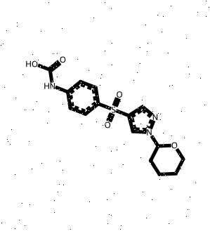 O=C(O)Nc1ccc(S(=O)(=O)c2cnn(C3CCCCO3)c2)cc1